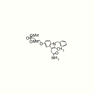 COP(=O)(CCCOc1ccc2c(c1)c(CC(N)=O)c(C)n2Cc1ccccc1)OC